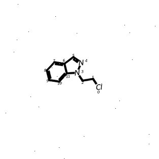 ClCCn1ncc2ccccc21